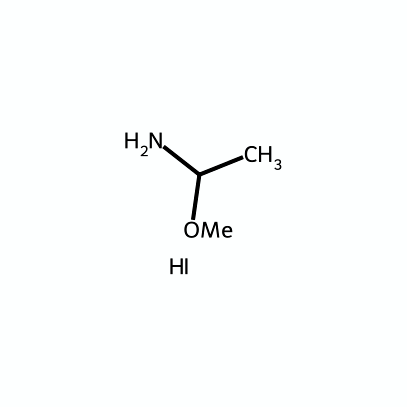 COC(C)N.I